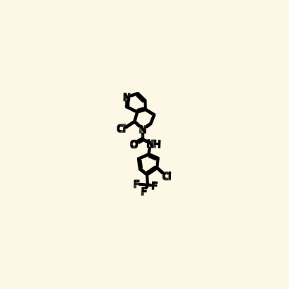 O=C(Nc1ccc(C(F)(F)F)c(Cl)c1)N1CCc2ccncc2C1Cl